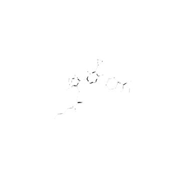 CCCCN(C)C(=O)OCc1c(-c2ccc(O[C@H]3CCC[C@](C)(C(=O)O)C3)c(C3CC3)n2)nnn1C